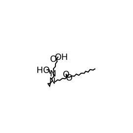 CCCCCCCCCCCOC(=O)CCCCCN(CCN(CCO)CCCCCC(=O)O)C1CC1